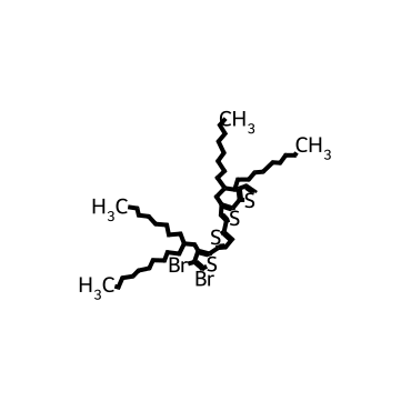 CCCCCCCCCCC(CCCCCCCC)Cc1cc(-c2ccc(-c3sc(Br)c(Br)c3CC(CCCCCCCC)CCCCCCCCCC)s2)sc1-c1cccs1